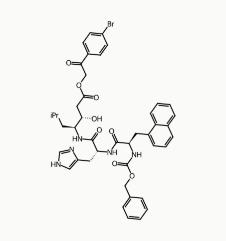 CC(C)C[C@H](NC(=O)[C@@H](Cc1c[nH]cn1)NC(=O)[C@@H](Cc1cccc2ccccc12)NC(=O)OCc1ccccc1)[C@@H](O)CC(=O)OCC(=O)c1ccc(Br)cc1